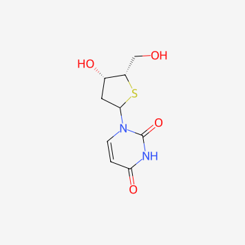 O=c1ccn(C2C[C@H](O)[C@H](CO)S2)c(=O)[nH]1